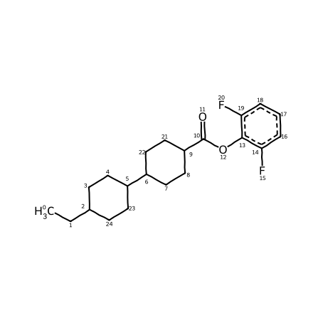 CCC1CCC(C2CCC(C(=O)Oc3c(F)cccc3F)CC2)CC1